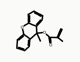 C=C(C)C(=O)OC1(C)c2ccccc2Oc2ccccc21